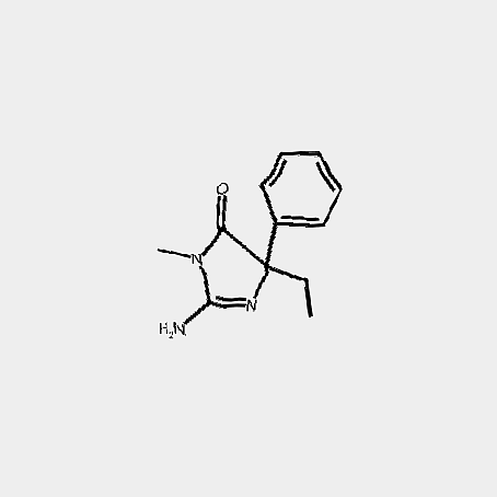 CCC1(c2ccccc2)N=C(N)N(C)C1=O